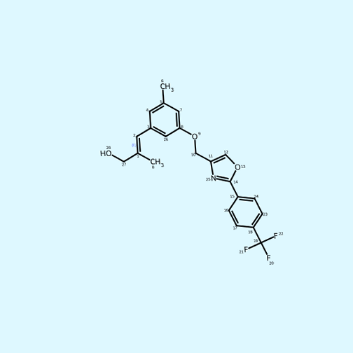 C/C(=C\c1cc(C)cc(OCc2coc(-c3ccc(C(F)(F)F)cc3)n2)c1)CO